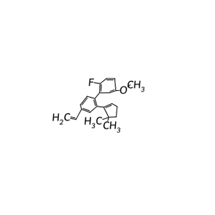 C=Cc1ccc(-c2cc(OC)ccc2F)c(C2=CCCC2(C)C)c1